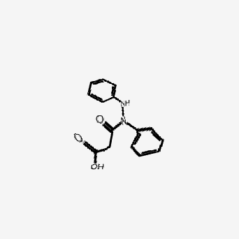 O=C(O)CC(=O)N(Nc1ccccc1)c1ccccc1